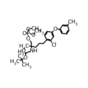 COP(=O)(OC)OCC(C)(CCCc1ccc(Oc2cccc(C)c2)cc1Cl)NC(=O)OC(C)(C)C